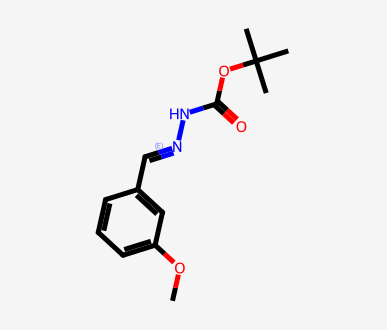 COc1cccc(/C=N/NC(=O)OC(C)(C)C)c1